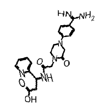 N=C(N)c1ccc(N2CCN(CC(=O)NC(CC(=O)O)c3ccccn3)C(=O)C2)cc1